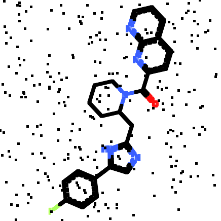 O=C(c1ccc2cccnc2n1)N1CCCCC1Cc1ncc(-c2ccc(F)cc2)[nH]1